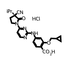 CC(C)[C@]1(C#N)CCN(c2ccnc(Nc3ccc(C(=O)O)c(OCC4CC4)c3)n2)C1=O.Cl